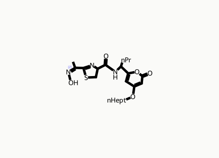 CCCCCCCOc1cc(C(CCC)NC(=O)C2CSC(/C(C)=N\O)=N2)oc(=O)c1